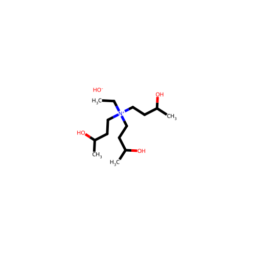 CC[N+](CCC(C)O)(CCC(C)O)CCC(C)O.[OH-]